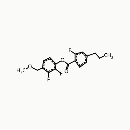 CCCc1ccc(C(=O)Oc2ccc(COC)c(F)c2F)c(F)c1